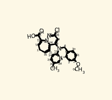 COc1ccc(CN(C2=CC(Cl)=NN3C2=C=CCC=C3C(=O)O)c2ccc(C)cn2)cc1